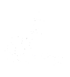 C(=C\c1ccc(-c2cccs2)s1)/c1cc[n+]2c(c1)-c1c(ccc3c1-c1cccc[n+]1CC3)CC2.O=S(=O)([O-])C(F)(F)F.O=S(=O)([O-])C(F)(F)F